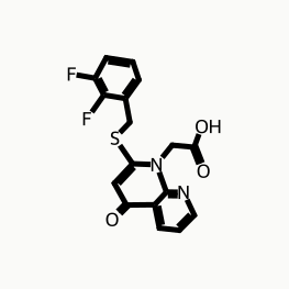 O=C(O)Cn1c(SCc2cccc(F)c2F)cc(=O)c2cccnc21